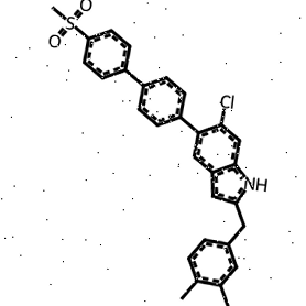 Cc1ccc(Cc2cc3cc(-c4ccc(-c5ccc(S(C)(=O)=O)cc5)cc4)c(Cl)cc3[nH]2)cc1C